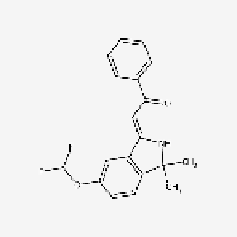 CC1(C)N/C(=C\C(=O)c2ccccc2)c2cc(OC(F)F)ccc21